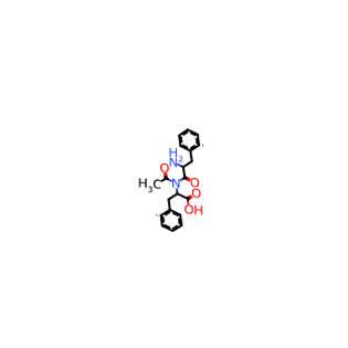 CC(=O)N(C(=O)C(N)Cc1[c]cccc1)C(Cc1[c]cccc1)C(=O)O